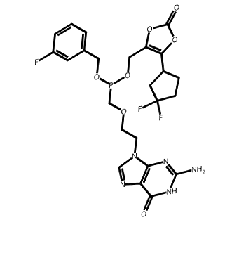 Nc1nc2c(ncn2CCOCP(OCc2cccc(F)c2)OCc2oc(=O)oc2C2CCC(F)(F)C2)c(=O)[nH]1